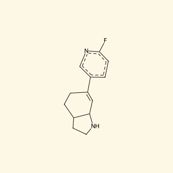 Fc1ccc(C2=CC3NCCC3CC2)cn1